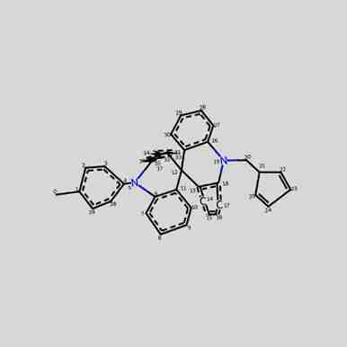 Cc1ccc(N2c3ccccc3C3(c4ccccc4N(CC4C=CC=C4)c4ccccc43)c3ccccc32)cc1